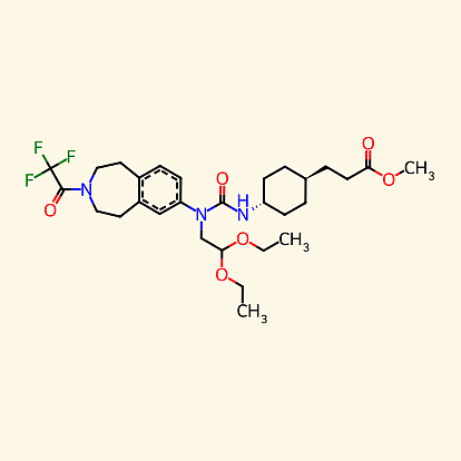 CCOC(CN(C(=O)N[C@H]1CC[C@H](CCC(=O)OC)CC1)c1ccc2c(c1)CCN(C(=O)C(F)(F)F)CC2)OCC